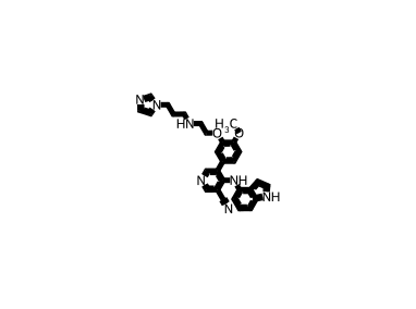 COc1ccc(-c2cncc(C#N)c2Nc2cccc3[nH]ccc23)cc1OCCNCCCn1ccnc1